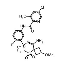 COC1CC2(C1)C(N)=N[C@](C)(c1cc(NC(=O)c3ncc(Cl)cc3C)ccc1F)CS2(=O)=O